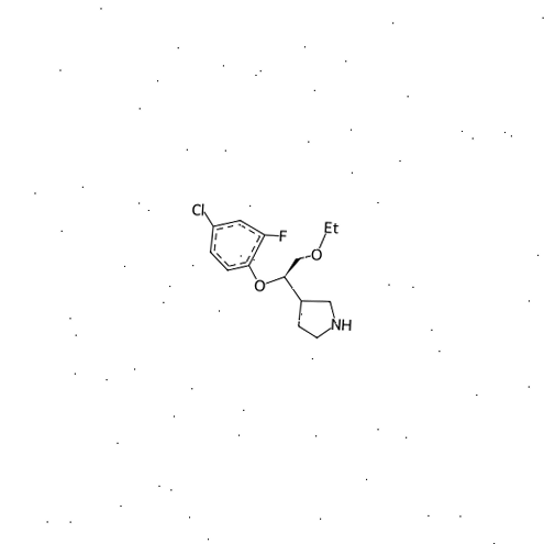 CCOC[C@H](Oc1ccc(Cl)cc1F)C1CCNC1